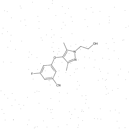 Cc1nn(CCO)c(C)c1Oc1cc(F)cc(C#N)c1